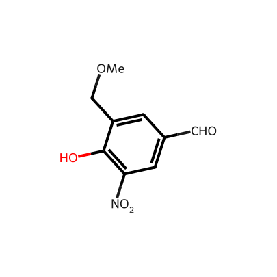 COCc1cc(C=O)cc([N+](=O)[O-])c1O